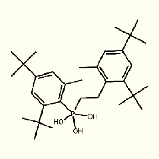 Cc1cc(C(C)(C)C)cc(C(C)(C)C)c1CCP(O)(O)(O)c1c(C)cc(C(C)(C)C)cc1C(C)(C)C